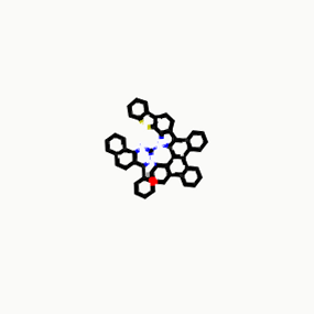 c1ccc(-c2nc(-n3c4c(ccc5c6ccccc6sc54)c4c5ccccc5c5c6ccccc6c6ccccc6c5c43)nc3c2ccc2ccccc23)cc1